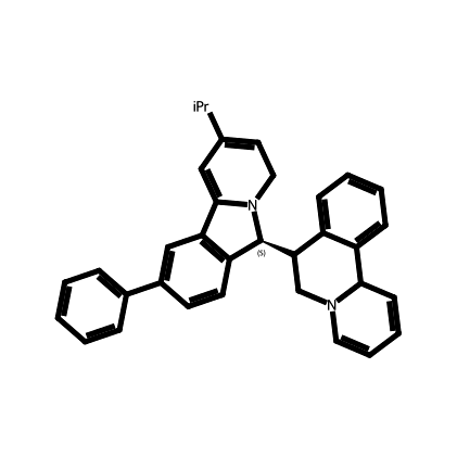 CC(C)C1=CCN2C(=C1)c1cc(-c3ccccc3)ccc1[C@@H]2C1CN2C=CC=CC2c2ccccc21